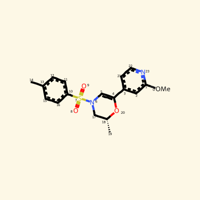 COc1cc(C2=CN(S(=O)(=O)c3ccc(C)cc3)C[C@@H](C)O2)ccn1